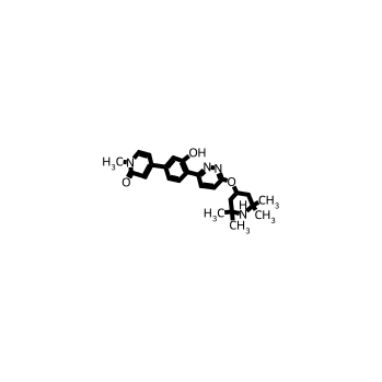 Cn1ccc(-c2ccc(-c3ccc(OC4CC(C)(C)NC(C)(C)C4)nn3)c(O)c2)cc1=O